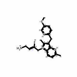 CSc1ccc(Cc2c(C)n(C/C(F)=C/CN)c3ccc(C)nc23)nc1